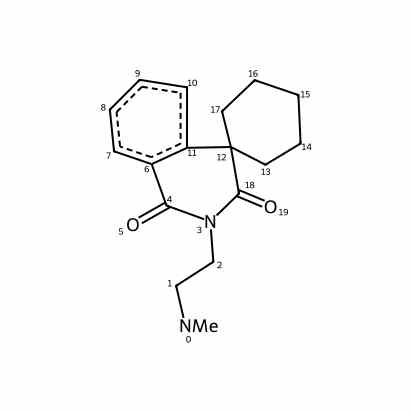 CNCCN1C(=O)c2ccccc2C2(CCCCC2)C1=O